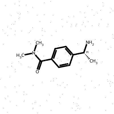 C[C@@H](N)c1ccc(C(=O)N(C)C)cc1